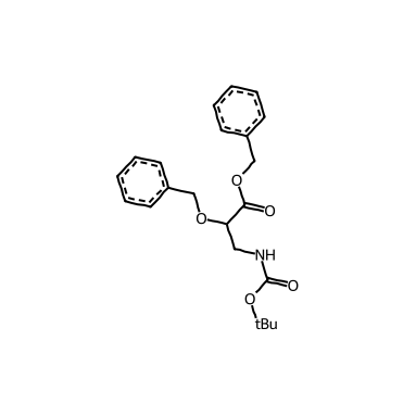 CC(C)(C)OC(=O)NCC(OCc1ccccc1)C(=O)OCc1ccccc1